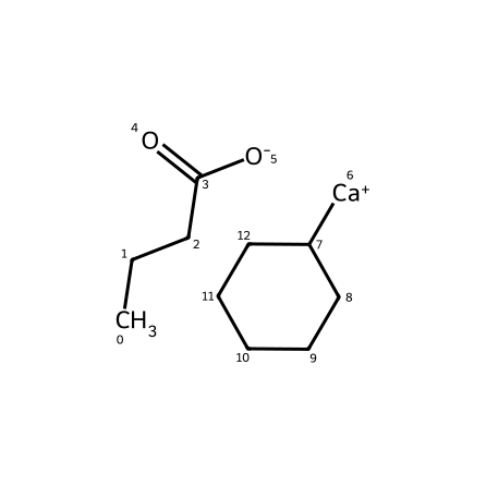 CCCC(=O)[O-].[Ca+][CH]1CCCCC1